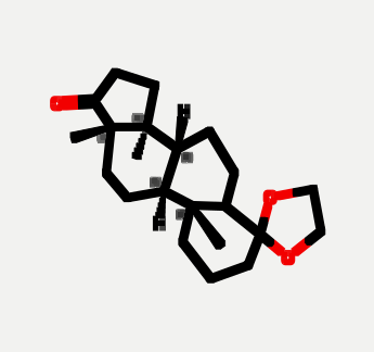 C[C@]12CCCC3(OCCO3)C1CC[C@@H]1[C@@H]2CC[C@]2(C)C(=O)CC[C@@]12C